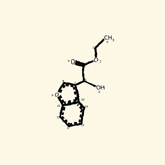 CCOC(=O)C(O)c1coc2ccccc12